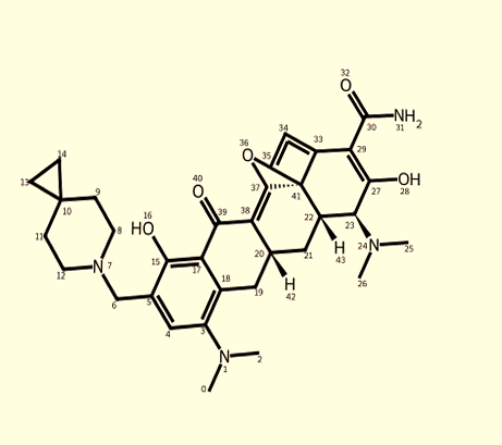 CN(C)c1cc(CN2CCC3(CC2)CC3)c(O)c2c1C[C@H]1C[C@H]3[C@H](N(C)C)C(O)=C(C(N)=O)C4=C=C5OC(=C1C2=O)[C@]543